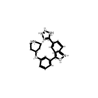 c1cc(OC2CCNCC2)cc(-c2onc3ccc(-c4nnn[nH]4)cc23)c1